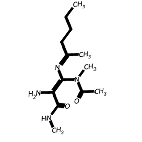 CCCC/C(C)=N/C(=C(\N)C(=O)NC)N(C)C(C)=O